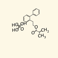 C=C(C)C(=O)OCCc1ccccc1-c1ccccc1.O=P(O)(O)O